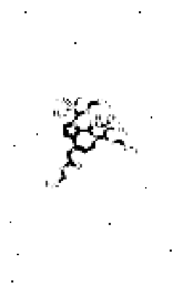 CCOC(=O)CC1=CCN(C(OCC)[Si](C)(C)C)C(=O)c2c1ccn2C(OCC)[Si](C)(C)C